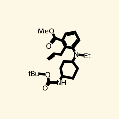 C=CCc1c(C(=O)OC)cccc1N(CC)C1CCC(NC(=O)OC(C)(C)C)CC1